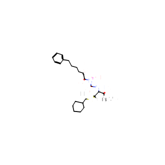 CNC(=O)[C@H](NC(=O)N(O)C(=O)[C@@H](O)CCCCc1ccccc1)C(C)(C)SCC1CCCCC1